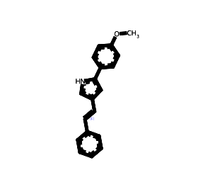 COc1ccc(-c2cc(/C=C/c3ccccc3)c[nH]2)cc1